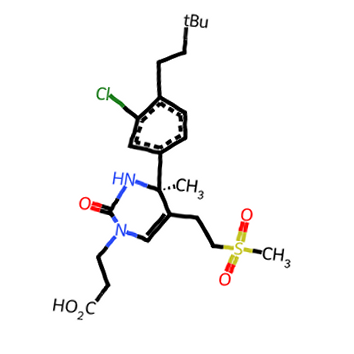 CC(C)(C)CCc1ccc([C@]2(C)NC(=O)N(CCC(=O)O)C=C2CCS(C)(=O)=O)cc1Cl